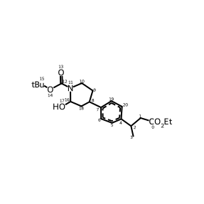 CCOC(=O)CC(C)c1ccc(C2CCN(C(=O)OC(C)(C)C)C(O)C2)cc1